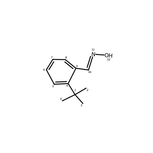 CC(C)(C)c1ccccc1C=NO